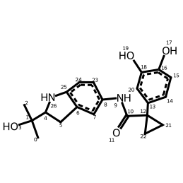 CC(C)(O)C1Cc2cc(NC(=O)C3(c4ccc(O)c(O)c4)CC3)ccc2N1